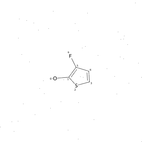 [O]c1sccc1F